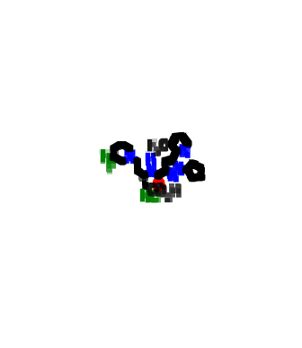 Cl.O=C(O)C[C@H](CCN1CCCC(F)(F)C1)NC(=O)c1cc(-c2ncccc2C(F)(F)F)n(C2CCCC2)n1